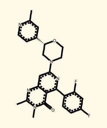 Cc1cc([C@H]2CN(c3cc4nc(C)n(C)c(=O)c4c(-c4ccc(F)cc4F)n3)CCO2)ccn1